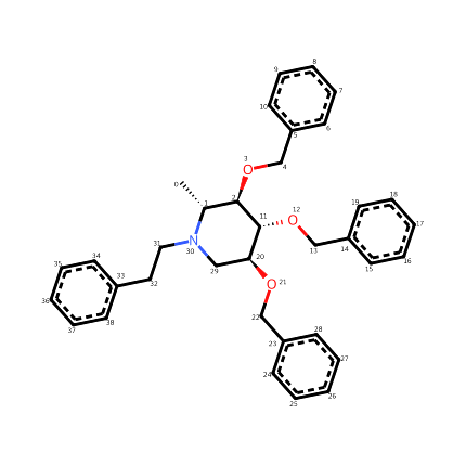 C[C@@H]1[C@@H](OCc2ccccc2)[C@H](OCc2ccccc2)[C@@H](OCc2ccccc2)CN1CCc1ccccc1